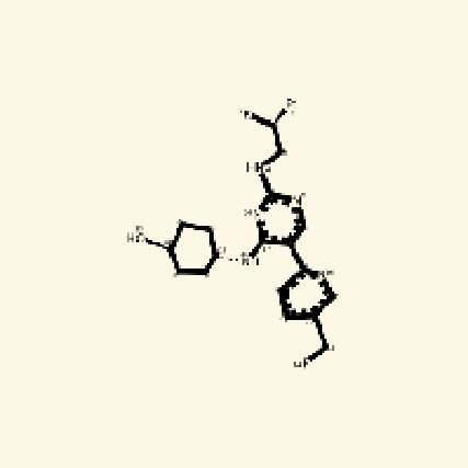 CC[C@H](F)CNc1ncc(-c2ccc(CF)cn2)c(N[C@H]2CC[C@H](O)CC2)n1